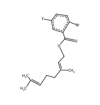 CC(C)=CCC/C(C)=C/COC(=O)c1cc(F)ccc1Br